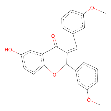 COc1cccc(C=C2C(=O)c3cc(O)ccc3OC2c2cccc(OC)c2)c1